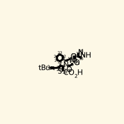 CC(C)(C)C#Cc1cc(N2C(=O)CN(S(=O)(=O)c3cn[nH]c3)C[C@H]2C2CCCCC2)c(C(=O)O)s1